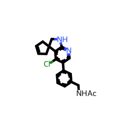 CC(=O)NCc1cccc(-c2cnc3c(c2Cl)C2(CC=CC2)CN3)c1